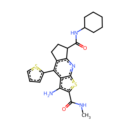 CNC(=O)c1sc2nc3c(c(-c4cccs4)c2c1N)CCC3C(=O)NC1CCCCC1